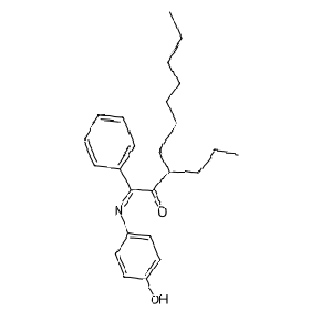 CCCCCCCC(CCC)C(=O)C(=Nc1ccc(O)cc1)c1ccccc1